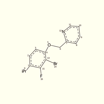 CC(C)c1ccc(OCc2ccccn2)c(Br)c1F